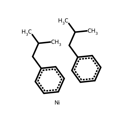 CC(C)Cc1ccccc1.CC(C)Cc1ccccc1.[Ni]